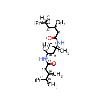 CC(CC(=O)NC(C)(C)CC(C)NC(=O)CC(C)C(C)C(C)C)CC(C)C(C)C